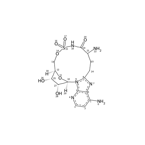 Nc1ccnc2c1nc1n2[C@@H]2O[C@H](COS(=O)(=O)NC(=O)C(N)CC1)[C@@H](O)[C@H]2O